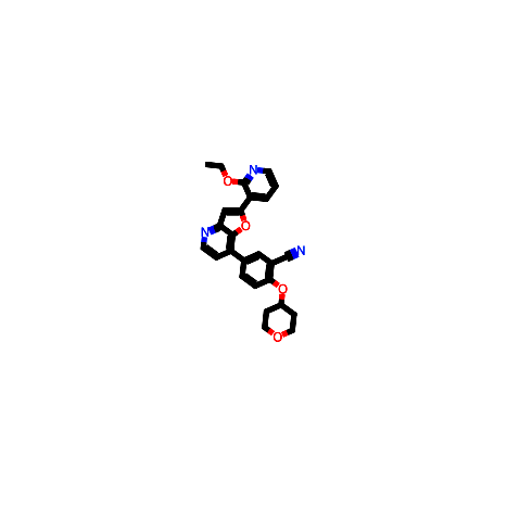 CCOc1ncccc1-c1cc2nccc(-c3ccc(OC4CCOCC4)c(C#N)c3)c2o1